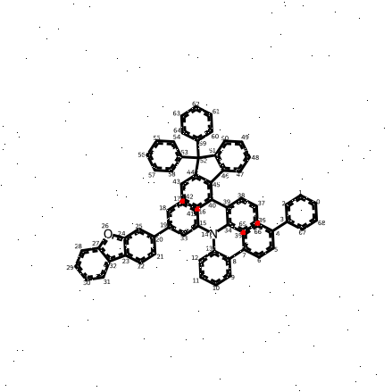 c1ccc(-c2ccc(-c3ccccc3N(c3cccc(-c4ccc5c(c4)oc4ccccc45)c3)c3ccccc3-c3cccc4c3-c3ccccc3C4(c3ccccc3)c3ccccc3)cc2)cc1